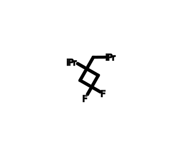 CC(C)CC1(C(C)C)CC(F)(F)C1